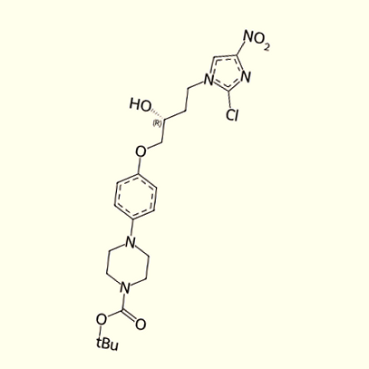 CC(C)(C)OC(=O)N1CCN(c2ccc(OC[C@H](O)CCn3cc([N+](=O)[O-])nc3Cl)cc2)CC1